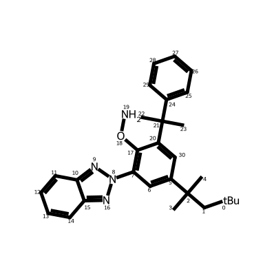 CC(C)(C)CC(C)(C)c1cc(-n2nc3ccccc3n2)c(ON)c(C(C)(C)c2ccccc2)c1